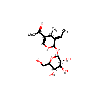 C/C=C1/C(O[C@@H]2OC(CO)[C@@H](O)C(O)[C@H]2O)OC=C(C(=O)OC)[C@H]1C